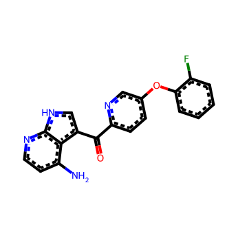 Nc1ccnc2[nH]cc(C(=O)c3ccc(Oc4ccccc4F)cn3)c12